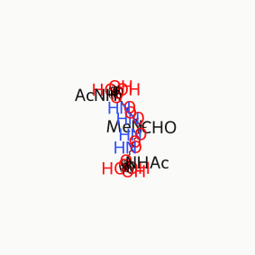 CNC(CCC=O)(CCC(=O)NCCOCC(=O)NCCCCCO[C@@H]1O[C@H](CO)[C@H](O)[C@H](O)[C@H]1NC(C)=O)CCC(=O)NCCOCC(=O)NCCCCCO[C@@H]1O[C@H](CO)[C@H](O)[C@H](O)[C@H]1NC(C)=O